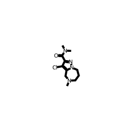 CN1CCCn2nc(C(=O)N(C)C)c(Cl)c2C1